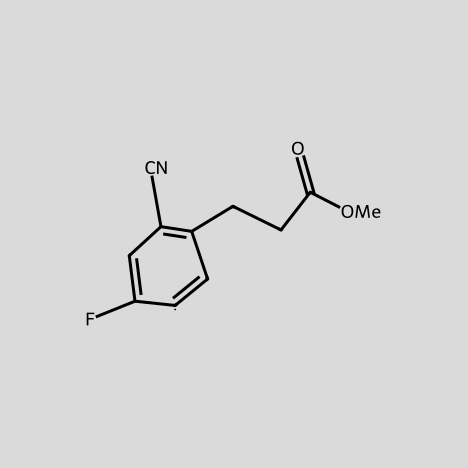 COC(=O)CCc1c[c]c(F)cc1C#N